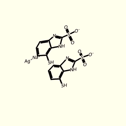 O=S(=O)([O-])c1nc2cccc(S)c2[nH]1.O=S(=O)([O-])c1nc2cccc(S)c2[nH]1.[Ag+].[Na+]